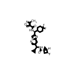 Cc1nonc1C(=O)N[C@H](c1cn2ncc(C(NC(=O)[C@@]34C[C@@H](F)[C@@H]3C4)C3CC3)cc2n1)C1CCC(F)(F)CC1